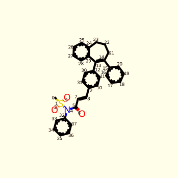 CS(=O)(=O)N(C(=O)C=Cc1ccc(C2=C(c3ccccc3)CCCc3ccccc32)cc1)c1ccccc1